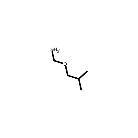 CC(C)COC[SiH2]